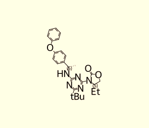 CC[C@H]1COC(=O)N1c1nc(N[C@@H](C)c2ccc(Oc3ccccc3)cc2)nc(C(C)(C)C)n1